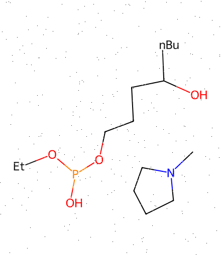 CCCCC(O)CCCOP(O)OCC.CN1CCCC1